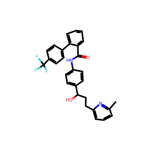 Cc1cccc(CCC(O)c2ccc(NC(=O)c3ccccc3-c3ccc(C(F)(F)F)cc3)cc2)n1